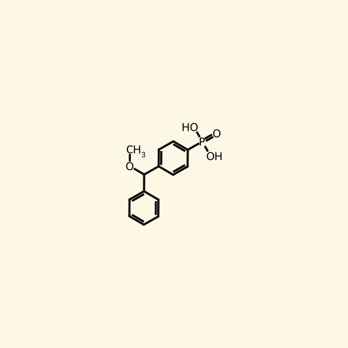 COC(c1ccccc1)c1ccc(P(=O)(O)O)cc1